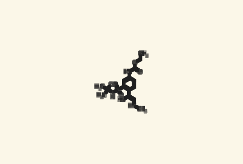 CCOC(=O)Nc1ccc(/C(S)=C/NC)c(S(=O)(=O)NC(C)(C)C)c1